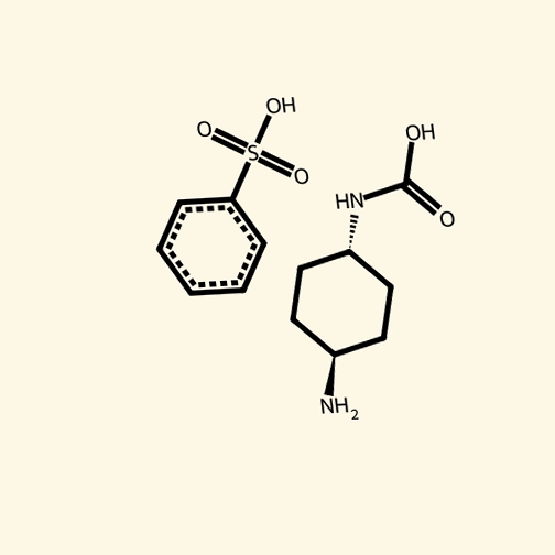 N[C@H]1CC[C@H](NC(=O)O)CC1.O=S(=O)(O)c1ccccc1